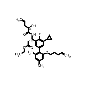 C=CCCCOc1cc(C)cc(C)c1-c1cc(C2CC2)c(F)c([C@H](CC(=O)OCC)NC(=O)[C@H](O)CC=C)c1